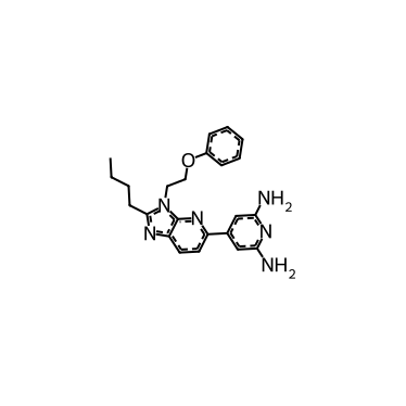 CCCCc1nc2ccc(-c3cc(N)nc(N)c3)nc2n1CCOc1ccccc1